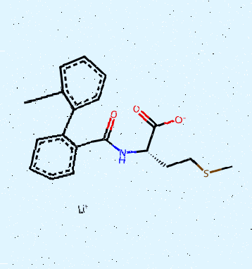 CSCC[C@H](NC(=O)c1ccccc1-c1ccccc1C)C(=O)[O-].[Li+]